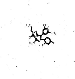 Cc1cc(-c2c(-c3ccc(F)cc3F)nc(N)n3c(=O)n(CCC(F)(F)F)nc23)cc(C)n1